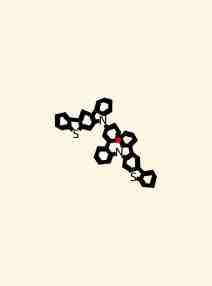 c1cc(-c2ccccc2-n2c3ccccc3c3cc4c(cc32)sc2ccccc24)cc(-n2c3ccccc3c3cc4c(cc32)sc2ccccc24)c1